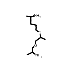 CC(N)CCCOC(C)COCC(C)N